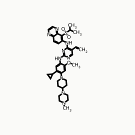 C=Cc1cnc(Nc2cc(C3CC3)c(N3CCC(N4CCN(C)CC4)CC3)cc2OC)nc1Nc1ccc2nccnc2c1S(=O)(=O)C(C)C